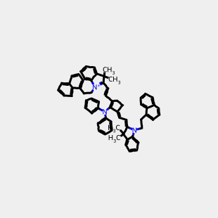 CC1(C)C(/C=C/C2=C(N(c3ccccc3)c3ccccc3)C(=C/C=C3/N(CCc4cccc5ccccc45)c4ccccc4C3(C)C)/CC2)=[N+](CCc2cccc3ccccc23)c2ccccc21